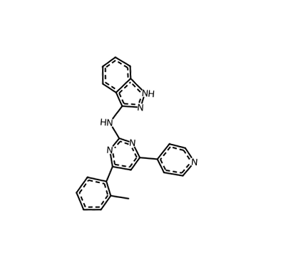 Cc1ccccc1-c1cc(-c2ccncc2)nc(Nc2n[nH]c3ccccc23)n1